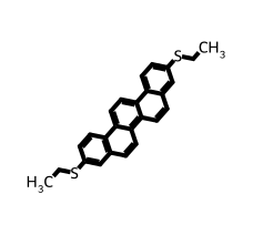 CCSc1ccc2c(ccc3c2ccc2c4ccc(SCC)cc4ccc23)c1